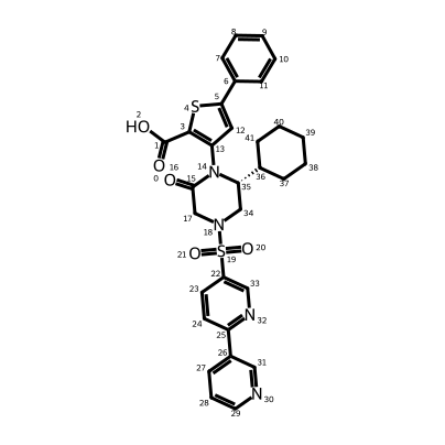 O=C(O)c1sc(-c2ccccc2)cc1N1C(=O)CN(S(=O)(=O)c2ccc(-c3cccnc3)nc2)C[C@H]1C1CCCCC1